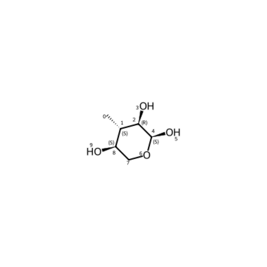 C[C@@H]1[C@@H](O)[C@@H](O)OC[C@H]1O